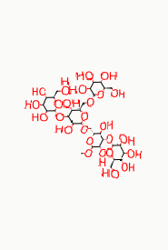 CO[C@H]1O[C@H](CO[C@H]2O[C@H](CO[C@H]3O[C@H](CO)[C@@H](O)[C@H](O)[C@@H]3O)[C@@H](O)[C@H](O[C@H]3O[C@H](CO)[C@@H](O)[C@H](O)[C@@H]3O)[C@@H]2O)[C@@H](O)[C@H](O[C@H]2O[C@H](CO)[C@@H](O)[C@H](O)[C@@H]2O)[C@@H]1O